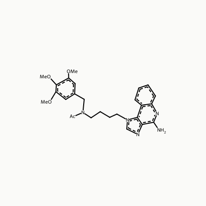 COc1cc(CN(CCCCn2cnc3c(N)nc4ccccc4c32)C(C)=O)cc(OC)c1OC